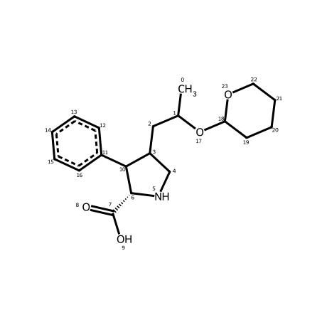 CC(CC1CN[C@H](C(=O)O)C1c1ccccc1)OC1CCCCO1